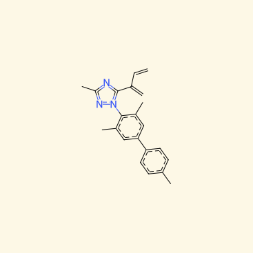 C=CC(=C)c1nc(C)nn1-c1c(C)cc(-c2ccc(C)cc2)cc1C